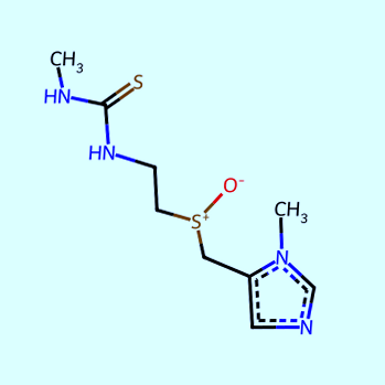 CNC(=S)NCC[S+]([O-])Cc1cncn1C